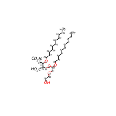 CC(C)CCCCCCCCCCOC(COCCO)OCC(C(=O)O)C(CC(=O)O)OCCCCCCCCCCC(C)C